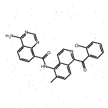 Cc1ccc2c(C(=O)c3ccccc3Cl)nccc2c1NC(=O)c1cccc2c(N)ncnc12